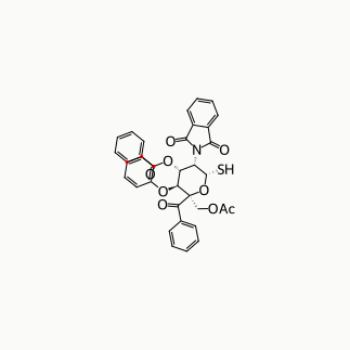 CC(=O)OC[C@@]1(C(=O)c2ccccc2)O[C@@H](S)[C@@H](N2C(=O)c3ccccc3C2=O)[C@@H](OC(=O)c2ccccc2)[C@@H]1Oc1ccccc1